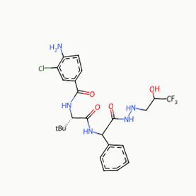 CC(C)(C)[C@H](NC(=O)c1ccc(N)c(Cl)c1)C(=O)NC(C(=O)NNCC(O)C(F)(F)F)c1ccccc1